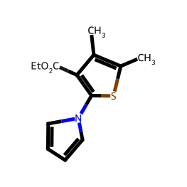 CCOC(=O)c1c(-n2cccc2)sc(C)c1C